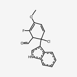 COC1=C(F)C(C=O)C(Cl)(c2c[nH]c3ccccc23)C=C1